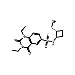 CCn1c(=O)c2cc(S(=O)(=O)N[C@@H]3CC[C@H]3CO)ccc2n(CC)c1=O